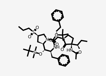 CCCS(=O)(=O)[C@@H]1C[C@H]([C@@H](O[Si](C)(C)C(C)(C)C)[C@H](Cc2ccccc2)NC(=O)[C@H](CCc2ccccc2)N2CC[C@](NC(C)=O)([C@H](C)CC)C2=O)N(C(=O)OC(C)(C)C)C1